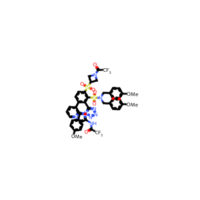 COc1ccc(CN(Cc2ccc(OC)cc2)S(=O)(=O)c2c(S(=O)(=O)C3CN(C(=O)C(F)(F)F)C3)ccc(-c3cccn4cc(NC(=O)C(F)(F)F)nc34)c2-c2nnnn2Cc2ccc(OC)cc2)cc1